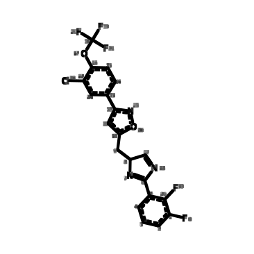 Fc1cccc(C2=NC(Cc3cc(-c4ccc(OC(F)(F)F)c(Cl)c4)no3)C=N2)c1F